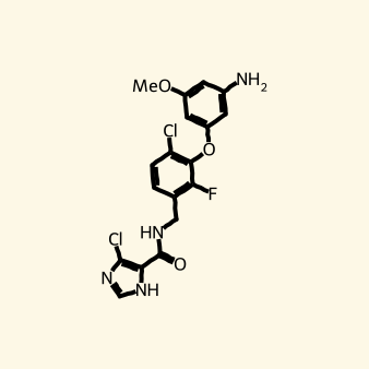 COc1cc(N)cc(Oc2c(Cl)ccc(CNC(=O)c3[nH]cnc3Cl)c2F)c1